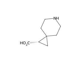 O=C(O)[C@H]1CC12CCNCC2